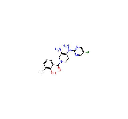 NC1=C(N(N)c2ncc(F)cn2)CCN(C(=O)c2cccc(C(F)(F)F)c2O)C1